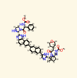 COC(=O)N[C@H](C(=O)N1[C@@H]2CC[C@@H](C2)[C@H]1c1ncc(-c2ccc3cc(-c4ccc5c(ccc6nc([C@@H]7NCCN7C(=O)[C@H](NC(=O)OC)c7ccccc7)[nH]c65)c4)ccc3c2)[nH]1)C1CCOCC1